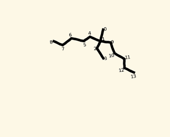 [CH2]C(CC)(CCCCC)CCCCC